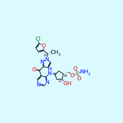 C[C@@H](c1ccc(Cl)o1)n1ccc(C(=O)c2cncnc2N[C@@H]2C[C@H](COS(N)(=O)=O)[C@@H](O)C2)n1